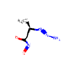 C[C@@H](N=NN)C(=O)N=O